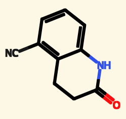 N#Cc1cccc2c1CCC(=O)N2